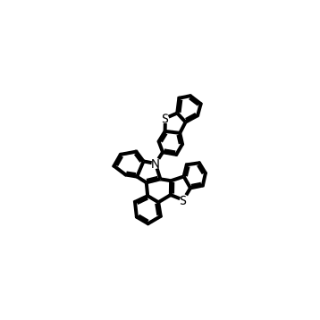 c1ccc2c(c1)sc1cc(-n3c4ccccc4c4c5ccccc5c5sc6ccccc6c5c43)ccc12